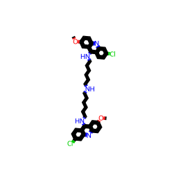 COc1ccc2nc3cc(Cl)ccc3c(NCCCCCCNCCCCCCNc3c4ccc(Cl)cc4nc4ccc(OC)cc34)c2c1